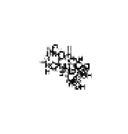 CC(=O)Nc1ccc(NC(=S)Nc2ccc(S(=O)(=O)O)c(Cl)c2)cc1.CC(=O)Nc1ccc(NC(=S)Nc2ccc(S(=O)(=O)O)c(Cl)c2)cc1